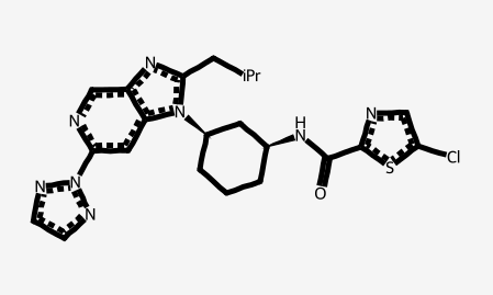 CC(C)Cc1nc2cnc(-n3nccn3)cc2n1[C@@H]1CCC[C@H](NC(=O)c2ncc(Cl)s2)C1